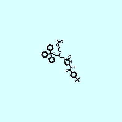 CC(=O)OCCO[C@@H](CCn1ccc(NC(=O)c2ccc(C(C)(C)C)cc2)nc1=O)COC(c1ccccc1)(c1ccccc1)c1ccccc1